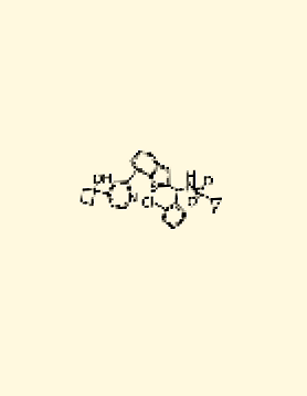 O=S(=O)(NC(c1cc2cccc(-c3cc(C4(O)CCC4)ccn3)c2s1)c1ccccc1Cl)C1CC1